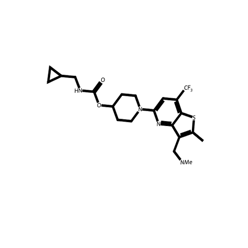 CNCc1c(C)sc2c(C(F)(F)F)cc(N3CCC(OC(=O)NCC4CC4)CC3)nc12